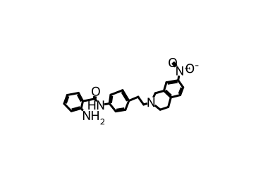 Nc1ccccc1C(=O)Nc1ccc(CCN2CCc3ccc([N+](=O)[O-])cc3C2)cc1